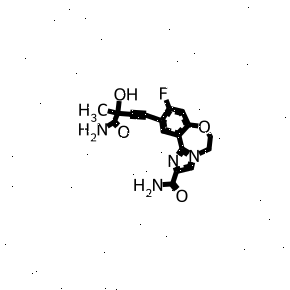 CC(O)(C#Cc1cc2c(cc1F)OCCn1cc(C(N)=O)nc1-2)C(N)=O